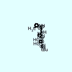 Cc1cccc(NS(=O)(=O)CCNc2ncnc3c2ncn3[C@@H]2O[C@H](c3nnc(C(C)(C)C)o3)[C@@H](O)[C@@H]2O)c1